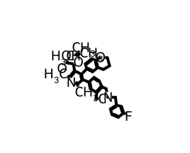 Cc1nc(C)c(C(OC(C)(C)C)C(=O)O)c(-c2ccc3c(c2)CCCO3)c1-c1ccc2c(c1)CCN(Cc1cccc(F)c1)C2